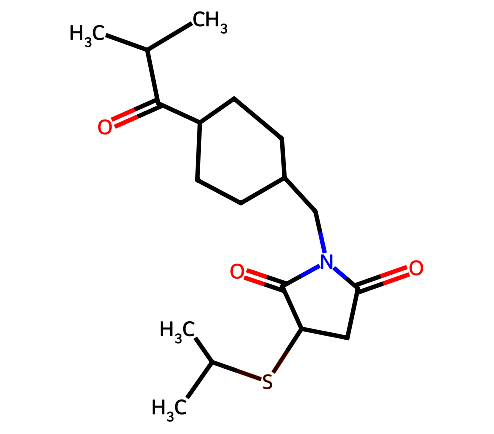 CC(C)SC1CC(=O)N(CC2CCC(C(=O)C(C)C)CC2)C1=O